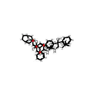 CC(C)C[C@H](NC(=O)NC1CCC(CCN2C3CCC2CC(OC(=O)C(CO)c2ccccc2)C3)CC1)C(O)(c1ccccc1)c1ccccc1